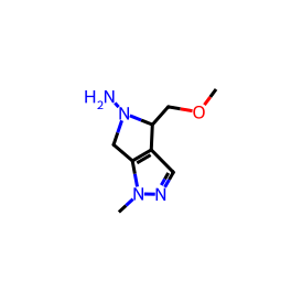 COCC1c2cnn(C)c2CN1N